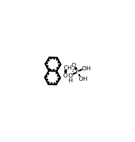 C=O.O=P(O)(O)O.c1ccc2ccccc2c1